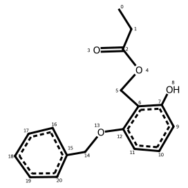 CCC(=O)OCc1c(O)cccc1OCc1ccccc1